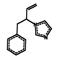 C=CC(Cc1ccccc1)n1ccnc1